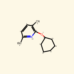 CC(C)(C)c1ccc(C#N)c(OC2CCCCC2)n1